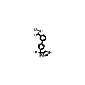 CCNC(=O)c1cccc(-c2ccc(C(O)(c3c[nH]cn3)C(C)C)cc2)c1